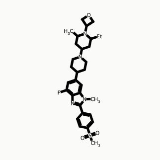 CCC1CC(N2CCC(c3cc(F)c4nc(-c5ccc(S(C)(=O)=O)cc5)n(C)c4c3)CC2)CC(C)N1C1COC1